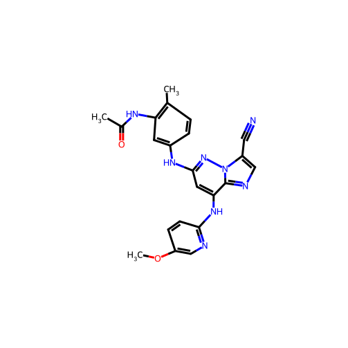 COc1ccc(Nc2cc(Nc3ccc(C)c(NC(C)=O)c3)nn3c(C#N)cnc23)nc1